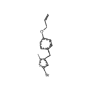 C=CCOc1ccc(Cc2cc(Br)sc2C)cc1